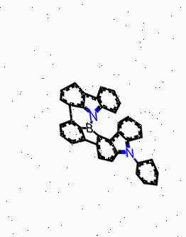 c1ccc(-n2c3ccccc3c3c4c(ccc32)-c2cccc3c2B4n2c4ccccc4c4cccc-3c42)cc1